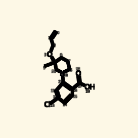 C=CCOC1(C)CCCN(c2cc(Cl)ccc2C(=O)O)C1